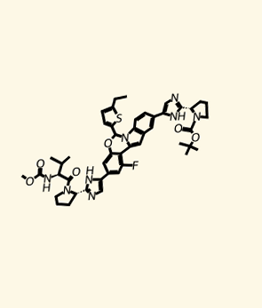 CCc1ccc(C2Oc3cc(-c4cnc([C@@H]5CCCN5C(=O)[C@@H](NC(=O)OC)C(C)C)[nH]4)cc(F)c3-c3cc4cc(-c5cnc([C@@H]6CCCN6C(=O)OC(C)(C)C)[nH]5)ccc4n32)s1